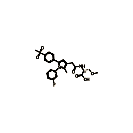 COC[C@@H](NC(=O)Cc1cc(-c2ccc(S(C)(=O)=O)cc2)n(-c2cccc(F)c2)c1C)C(=O)O